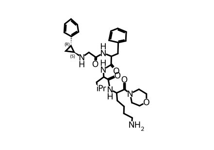 CC(C)CC(NC(=O)C(Cc1ccccc1)NC(=O)CN[C@H]1C[C@@H]1c1ccccc1)C(=O)NC(CCCCN)C(=O)N1CCOCC1